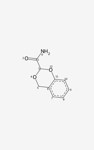 NC(=O)C1OCc2ccccc2O1